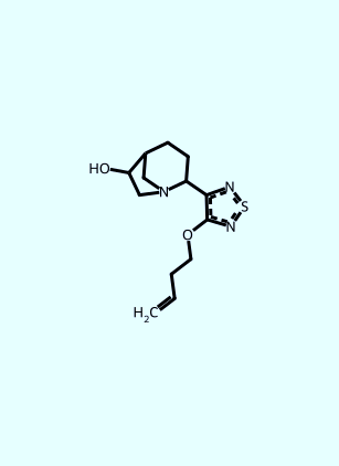 C=CCCOc1nsnc1C1CCC2CN1CC2O